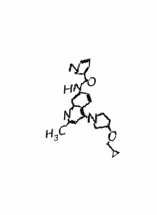 Cc1cc(N2CCC(OCC3CC3)C2)c2ccc(NC(=O)c3cccnc3)cc2n1